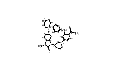 CN1C(=O)N(C2CCCN(c3cnc(C(N)=O)c(Nc4ccc(C5(C)CCNCC5)cc4)n3)C2)C2CCCCC21